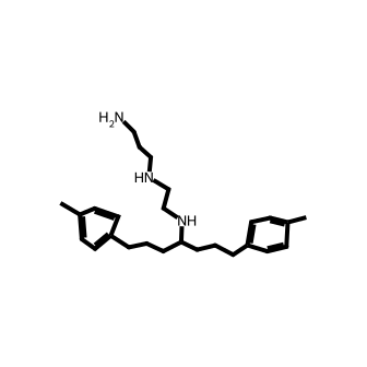 Cc1ccc(CCCC(CCCc2ccc(C)cc2)NCCNCCCN)cc1